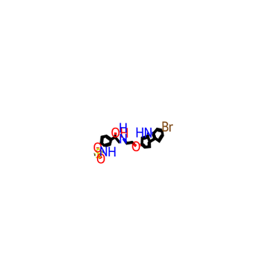 CS(=O)(=O)Nc1cccc(C(O)CNCCOc2ccc3c(c2)[nH]c2cc(Br)ccc23)c1